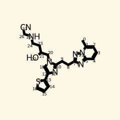 Cc1cccc2nc(CCc3nc(-c4cccs4)cn3CC(O)CCNCC#N)nn12